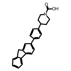 O=C(O)N1CCC(c2ccc(-c3ccc4c(c3)Cc3ccccc3-4)cc2)CC1